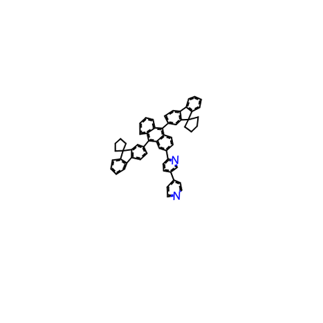 c1ccc2c(c1)-c1ccc(-c3c4ccccc4c(-c4ccc5c(c4)C4(CCCC4)c4ccccc4-5)c4cc(-c5ccc(-c6ccncc6)cn5)ccc34)cc1C21CCCC1